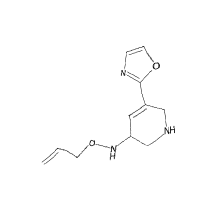 C=CCONC1C=C(c2ncco2)CNC1